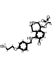 CC(C)(C)CCOc1ccc(CNc2c(Cl)ccc3c2CCNCC3OS(C)(=O)=O)cc1